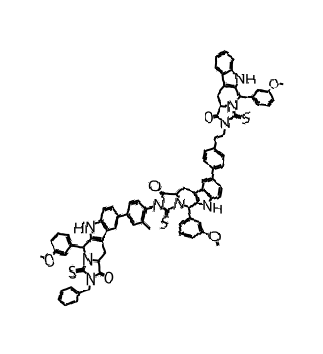 COc1cccc(C2c3[nH]c4ccccc4c3CC3C(=O)N(CCc4ccc(-c5ccc6[nH]c7c(c6c5)CC5C(=O)N(c6ccc(-c8ccc9[nH]c%10c(c9c8)CC8C(=O)N(Cc9ccccc9)C(=S)N8C%10c8cccc(OC)c8)cc6C)C(=S)N5C7c5cccc(OC)c5)cc4)C(=S)N32)c1